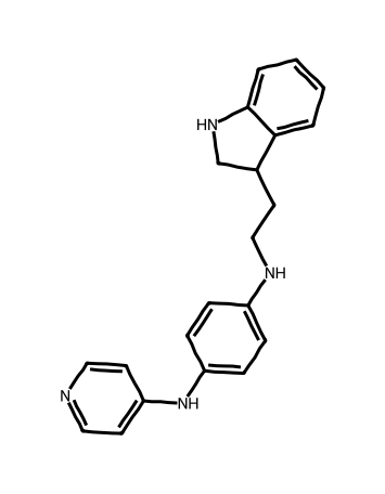 c1ccc2c(c1)NCC2CCNc1ccc(Nc2ccncc2)cc1